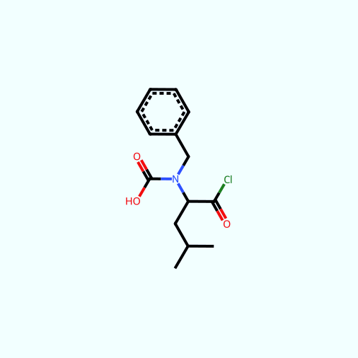 CC(C)CC(C(=O)Cl)N(Cc1ccccc1)C(=O)O